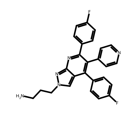 NCCCn1cc2c(-c3ccc(F)cc3)c(-c3ccncc3)c(-c3ccc(F)cc3)nc2n1